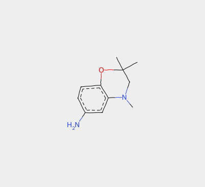 CN1CC(C)(C)Oc2ccc(N)cc21